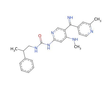 CNc1cc(NC(=O)NCC(C)c2ccccc2)ncc1C(=N)c1ccnc(C)c1